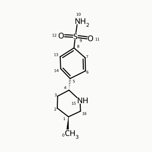 C[C@H]1CC[C@H](c2ccc(S(N)(=O)=O)cc2)NC1